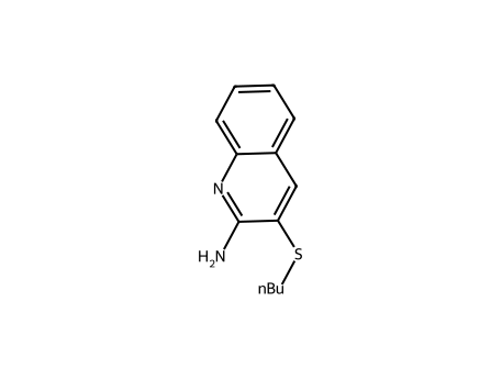 CCCCSc1cc2ccccc2nc1N